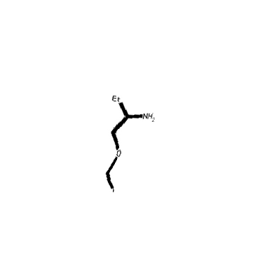 CCC(N)COCI